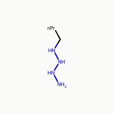 CCCCNNNN